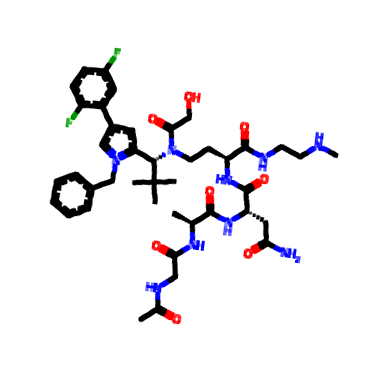 CNCCNC(=O)[C@H](CCN(C(=O)CO)[C@@H](c1cc(-c2cc(F)ccc2F)cn1Cc1ccccc1)C(C)(C)C)NC(=O)[C@H](CC(N)=O)NC(=O)[C@H](C)NC(=O)CNC(C)=O